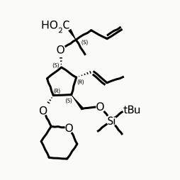 C=CC[C@](C)(O[C@H]1C[C@@H](OC2CCCCO2)[C@H](CO[Si](C)(C)C(C)(C)C)[C@H]1C=CC)C(=O)O